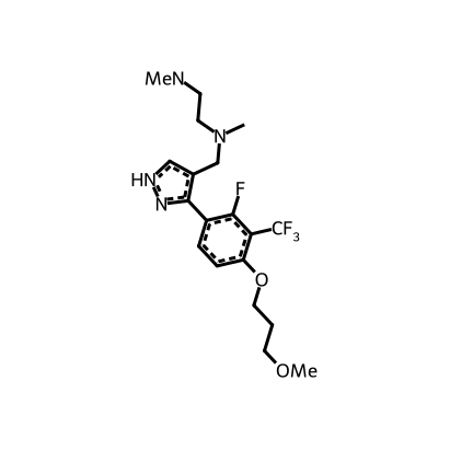 CNCCN(C)Cc1c[nH]nc1-c1ccc(OCCCOC)c(C(F)(F)F)c1F